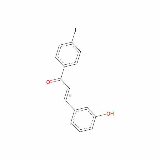 O=C(/C=C/c1cccc(O)c1)c1ccc(I)cc1